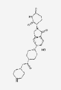 Cl.O=C1CCC(N2Cc3cc(N4CCN(C(=O)CC5CCNCC5)CC4)ccc3C2=O)C(=O)N1